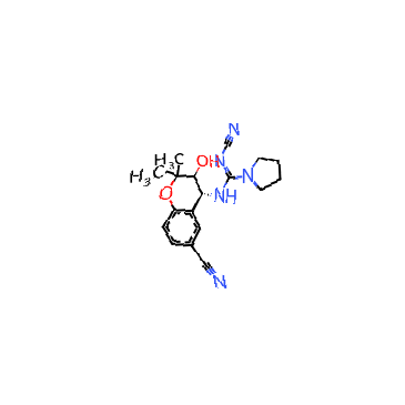 CC1(C)Oc2ccc(C#N)cc2[C@@H](NC(=NC#N)N2CCCC2)C1O